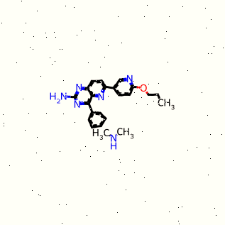 CCCOc1ccc(-c2ccc3nc(N)nc(-c4ccccc4)c3n2)cn1.CNC